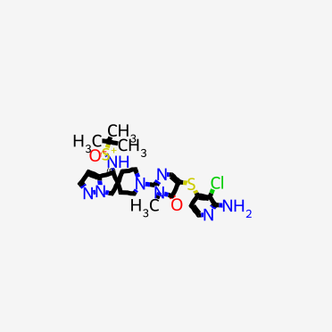 Cn1c(N2CCC3(CC2)Cn2nccc2[C@H]3N[S+]([O-])C(C)(C)C)ncc(Sc2ccnc(N)c2Cl)c1=O